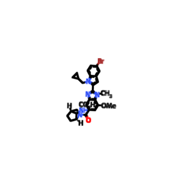 COc1cc(C(=O)N2C[C@H]3CC[C@H]2C3NC(=O)O)cc2nc(-c3cc4cc(Br)ccc4n3CC3CC3)n(C)c12